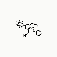 CC1(C)OB(c2cc(CC#N)c(OCc3ccccc3)c(CC#N)c2)OC1(C)C